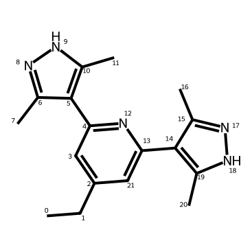 CCc1cc(-c2c(C)n[nH]c2C)nc(-c2c(C)n[nH]c2C)c1